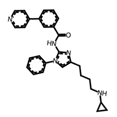 O=C(Nc1nc(CCCCNC2CC2)cn1-c1ccccc1)c1cccc(-c2ccncc2)c1